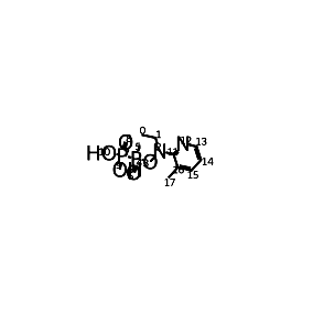 CCN(OP(C)(=O)P(=O)(O)O)c1ncccc1C